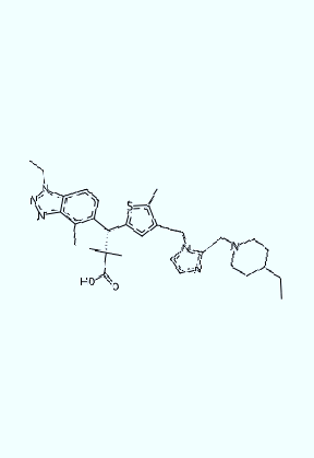 CCC1CCN(Cc2nccn2Cc2cc([C@@H](c3ccc4c(nnn4CC)c3C)C(C)(C)C(=O)O)sc2C)CC1